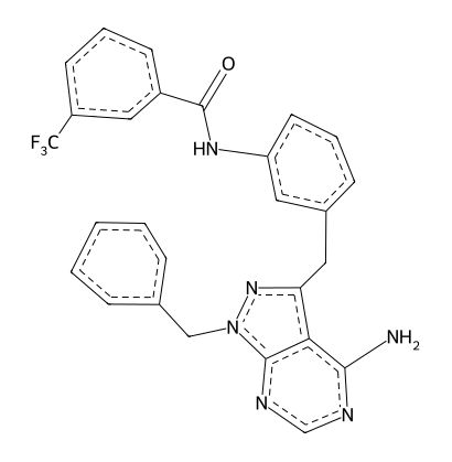 Nc1ncnc2c1c(Cc1cccc(NC(=O)c3cccc(C(F)(F)F)c3)c1)nn2Cc1ccccc1